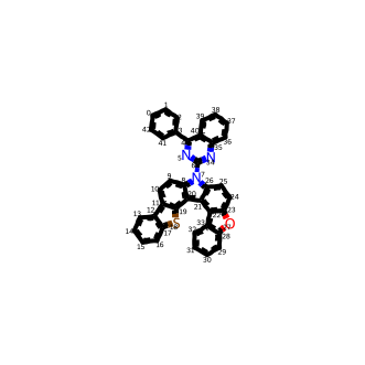 c1ccc(-c2nc(-n3c4ccc5c6ccccc6sc5c4c4c5c(ccc43)oc3ccccc35)nc3ccccc23)cc1